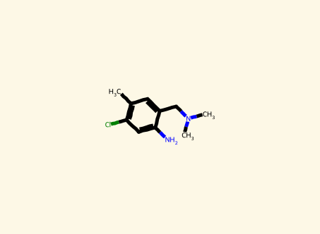 Cc1cc(CN(C)C)c(N)cc1Cl